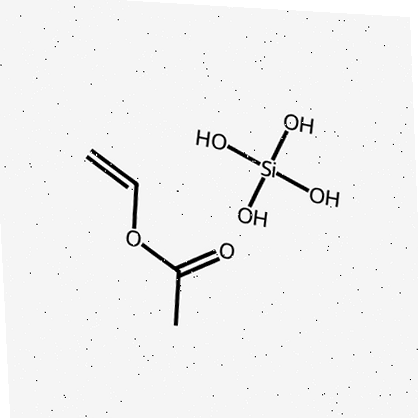 C=COC(C)=O.O[Si](O)(O)O